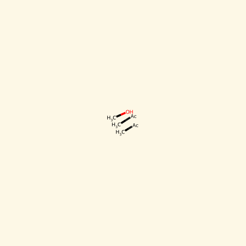 CC(C)=O.CC(C)=O.CO